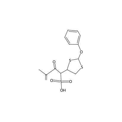 C=C(C)C(=O)C(C1CSC(Oc2ccccc2)S1)S(=O)(=O)O